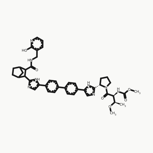 COC(=O)N[C@H](C(=O)N1CCC[C@H]1c1ncc(-c2ccc(-c3ccc(-c4cnc(C5C6CCC(C6)C5C(=O)NCc5cccnc5O)[nH]4)cc3)cc2)[nH]1)[C@@H](C)OC